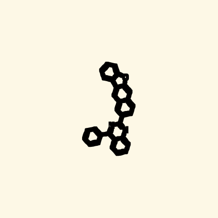 c1ccc(-c2nc(-c3ccc4cc5oc6ccccc6c5cc4c3)nc3ccccc23)cc1